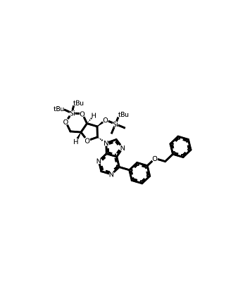 CC(C)(C)[Si](C)(C)O[C@@H]1[C@@H]2O[Si](C(C)(C)C)(C(C)(C)C)OC[C@H]2O[C@H]1n1cnc2c(-c3cccc(OCc4ccccc4)c3)ncnc21